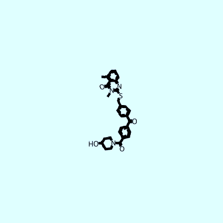 Cc1cccc2nc(SCc3ccc(C(=O)c4ccc(C(=O)N5CCC(O)CC5)cc4)cc3)n(C)c(=O)c12